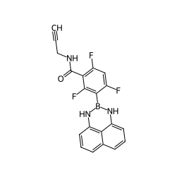 C#CCNC(=O)c1c(F)cc(F)c(B2Nc3cccc4cccc(c34)N2)c1F